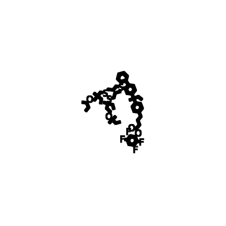 CCC(C)OCC(C)(CC)CSCCCS1(CCCSC(C)(CC)CCOC(C)(C)CC)C2=C(C=C=C=C2)c2ccc(C(C)(CC)c3ccc(CCCC(=O)Oc4c(F)c(F)cc(F)c4F)cc3)cc21